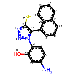 Nc1ccc(-n2nnc(S)c2-c2cccc3ccccc23)c(O)c1